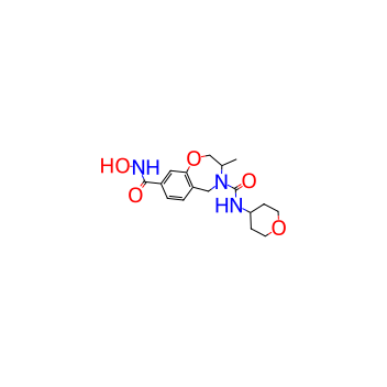 CC1COc2cc(C(=O)NO)ccc2CN1C(=O)NC1CCOCC1